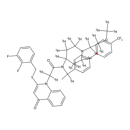 [2H]C([2H])([2H])OC([2H])([2H])C([2H])([2H])N1C([2H])([2H])C([2H])([2H])C([2H])(N(C(=O)C([2H])([2H])n2c(SCc3cccc(F)c3F)cc(=O)c3ccccc32)C([2H])(C)c2ccc(-c3ccc(C(F)(F)F)cc3)cc2)C([2H])([2H])C1([2H])[2H]